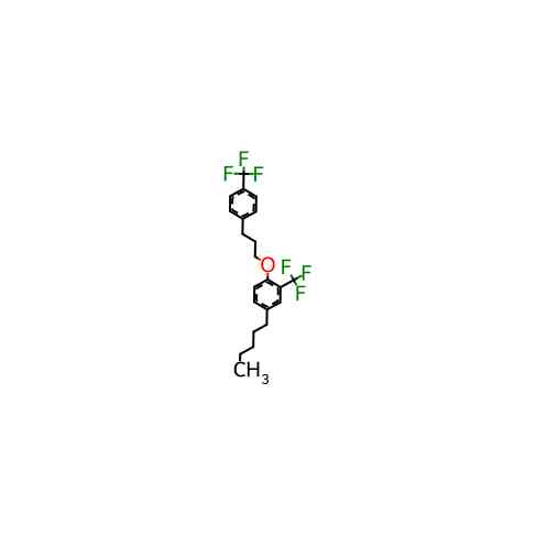 CCCCCc1ccc(OCCCc2ccc(C(F)(F)F)cc2)c(C(F)(F)F)c1